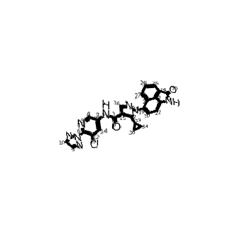 O=C(Nc1cnc(-n2nccn2)c(Cl)c1)c1cnn(-c2ccc3c4c(cccc24)C(=O)N3)c1C1CC1